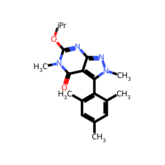 Cc1cc(C)c(-c2c3c(=O)n(C)c(OC(C)C)nc3nn2C)c(C)c1